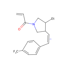 C=CC(=O)N1CC(/C=C\c2ccc(C(F)(F)F)cc2)C(CC)C1